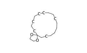 C1CCCCCCCC2(CCCCCCC1)OCCO2